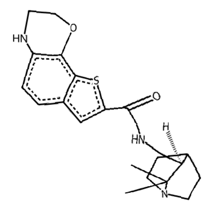 CC1(C)[C@@H](NC(=O)c2cc3ccc4c(c3s2)OCCN4)C2CCN1CC2